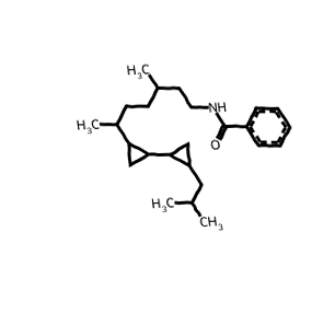 CC(C)CC1CC1C1CC1C(C)CCC(C)CCNC(=O)c1ccccc1